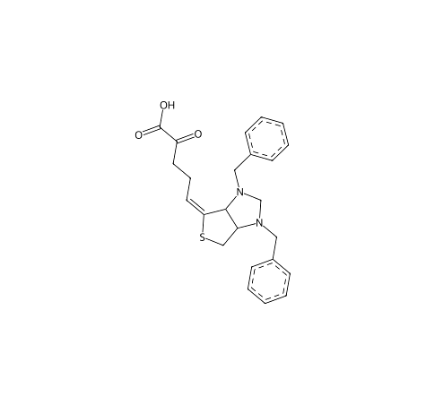 O=C(O)C(=O)CCC=C1SCC2C1N(Cc1ccccc1)CN2Cc1ccccc1